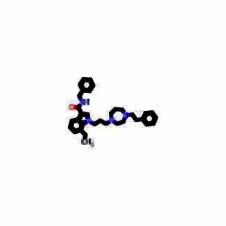 CCc1cccc2c(C(=O)NCc3ccccc3)cn(CCCN3CCCN(CCc4ccccc4)CC3)c12